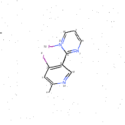 Cc1cc(I)c(-c2nccc[n+]2I)cn1